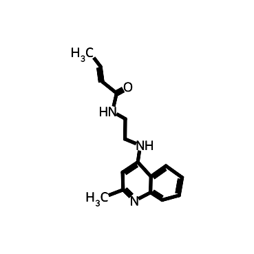 C/C=C/C(=O)NCCNc1cc(C)nc2ccccc12